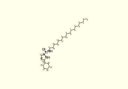 CCCCCCCCCCCCCCCCCCNC(=O)[C@@H]1CSC(C2CCCCC2)N1